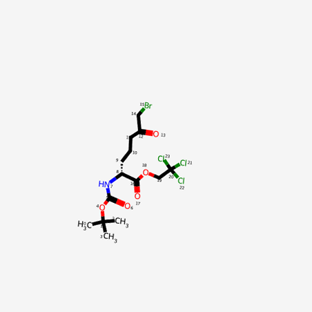 CC(C)(C)OC(=O)N[C@H](CCCC(=O)CBr)C(=O)OCC(Cl)(Cl)Cl